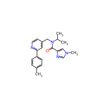 Cc1ccc(-c2cc(CN(C(=O)c3cn(C)cn3)C(C)C)ccn2)cc1